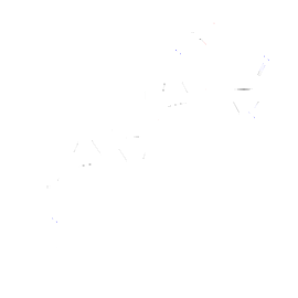 Cc1c(COc2cc(OCc3cncc(C#N)c3)c(CN3CCCC[C@H]3C(=O)O)cc2Cl)cccc1-c1cccc(OC[C@@H]2CCCN(CC(O)CO)C2)c1C